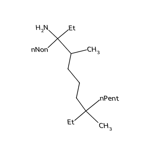 CCCCCCCCCC(N)(CC)C(C)CCCC(C)(CC)CCCCC